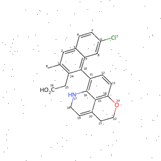 Cc1cc2ccc(Cl)cc2c(-c2ccc3c4c2NCC=C4CCO3)c1CC(=O)O